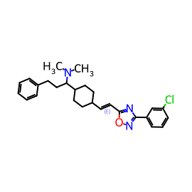 CN(C)C(CCc1ccccc1)C1CCC(/C=C/c2nc(-c3cccc(Cl)c3)no2)CC1